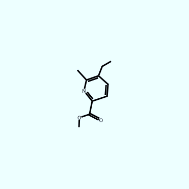 CCc1ccc(C(=O)OC)nc1C